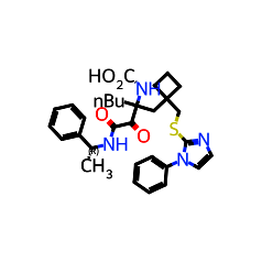 CCCCC(CC1(CSc2nccn2-c2ccccc2)CCC1)(NC(=O)O)C(=O)C(=O)N[C@H](C)c1ccccc1